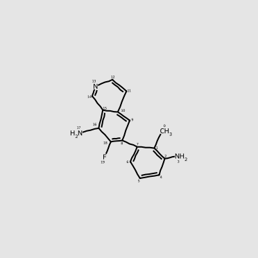 Cc1c(N)cccc1-c1cc2ccncc2c(N)c1F